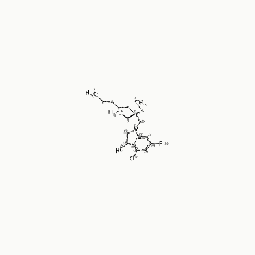 CCCCCC(CC)(CC)CN1CC(O)c2c(Cl)cc(F)cc21